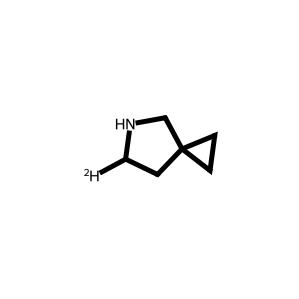 [2H]C1CC2(CC2)CN1